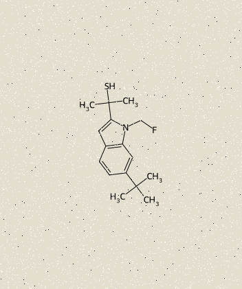 CC(C)(C)c1ccc2cc(C(C)(C)S)n(CF)c2c1